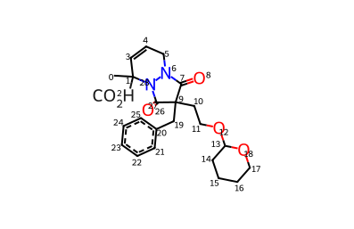 CC1(C(=O)O)C=CCN2C(=O)C(CCOC3CCCCO3)(Cc3ccccc3)C(=O)N21